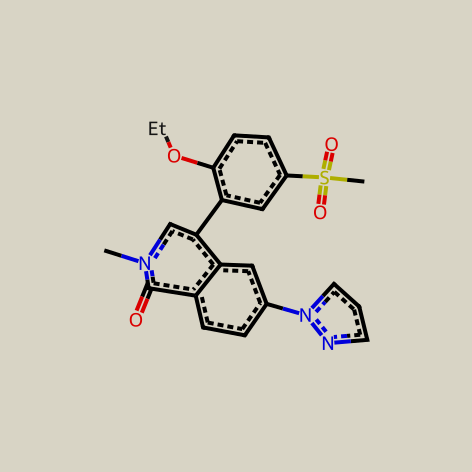 CCOc1ccc(S(C)(=O)=O)cc1-c1cn(C)c(=O)c2ccc(-n3cccn3)cc12